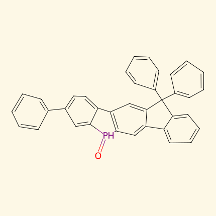 O=[PH]1c2cc(-c3ccccc3)ccc2-c2cc3c(cc21)-c1ccccc1C3(c1ccccc1)c1ccccc1